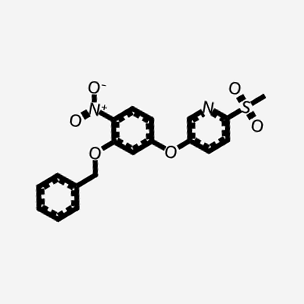 CS(=O)(=O)c1ccc(Oc2ccc([N+](=O)[O-])c(OCc3ccccc3)c2)cn1